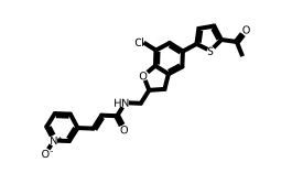 CC(=O)c1ccc(-c2cc(Cl)c3c(c2)CC(CNC(=O)C=Cc2ccc[n+]([O-])c2)O3)s1